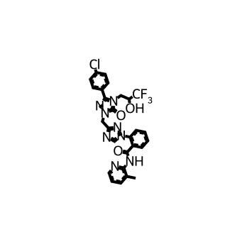 Cc1cccnc1NC(=O)c1ccccc1-n1cnc(Cn2nc(-c3ccc(Cl)cc3)n(CC(O)C(F)(F)F)c2=O)n1